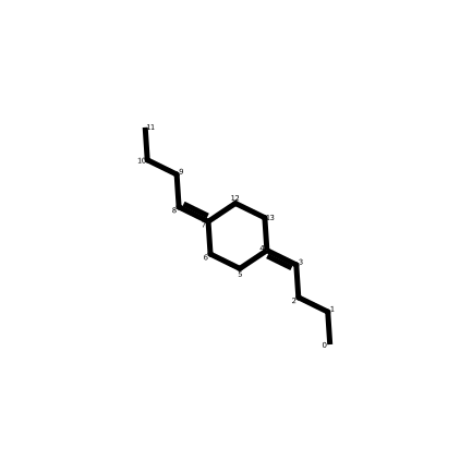 CCCC=C1CCC(=CCCC)CC1